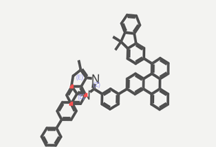 C\C1=C(c2ccccc2)/N=C(c2cccc(-c3ccc4c(c3)c3ccccc3c3cccc(-c5ccc6c(c5)-c5ccccc5C6(C)C)c34)c2)\N=C(\c2ccc(-c3ccccc3)cc2)CC1